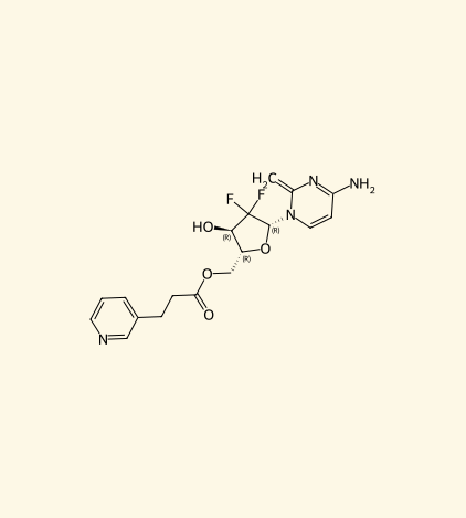 C=C1N=C(N)C=CN1[C@@H]1O[C@H](COC(=O)CCc2cccnc2)[C@@H](O)C1(F)F